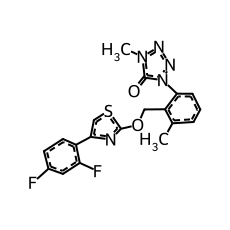 Cc1cccc(-n2nnn(C)c2=O)c1COc1nc(-c2ccc(F)cc2F)cs1